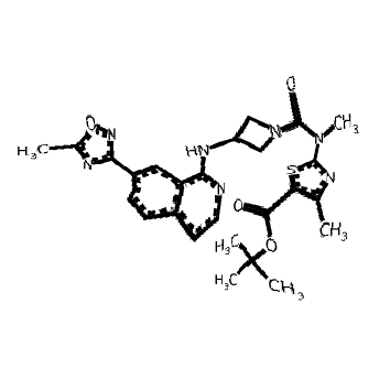 Cc1nc(-c2ccc3ccnc(NC4CN(C(=O)N(C)c5nc(C)c(C(=O)OC(C)(C)C)s5)C4)c3c2)no1